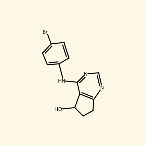 OC1CCc2ncnc(Nc3ccc(Br)cc3)c21